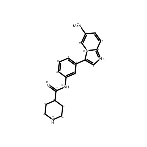 CNc1ccc2ncc(-c3cccc(NC(=O)C4CCNCC4)c3)n2c1